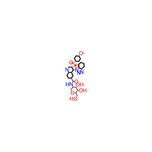 COc1ccc(S(=O)(=O)c2cnc3ccc(C(=O)NC4COC(CO)C(O)C4O)cc3c2-n2nnc3ccccc32)cc1